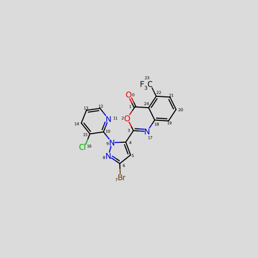 O=c1oc(-c2cc(Br)nn2-c2ncccc2Cl)nc2cccc(C(F)(F)F)c12